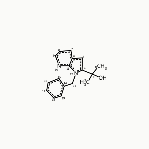 CC(C)(O)c1cc2cccnc2n1Cc1ccccc1